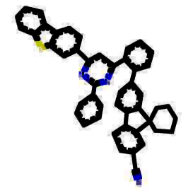 N#Cc1ccc2c(c1)C1(CCCCC1)c1cc(-c3ccccc3-c3cc(-c4ccc5c(c4)sc4ccccc45)nc(-c4ccccc4)n3)ccc1-2